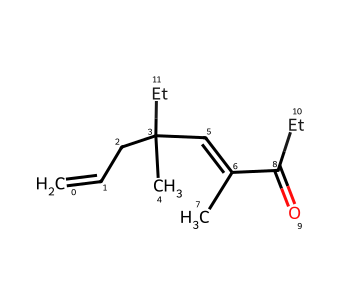 C=CCC(C)(C=C(C)C(=O)CC)CC